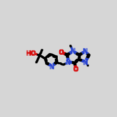 Cn1cnc2c1c(=O)n(Cc1ccc(C(C)(C)O)cn1)c(=O)n2C